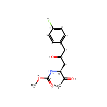 COC(=O)[C@H](CC(=O)Cc1ccc(F)cc1)NC(=O)OC(C)(C)C